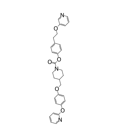 O=C(Oc1ccc(CCOc2cccnc2)cc1)N1CCC(COc2ccc(Oc3ccccn3)cc2)CC1